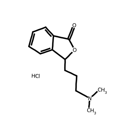 CN(C)CCCC1OC(=O)c2ccccc21.Cl